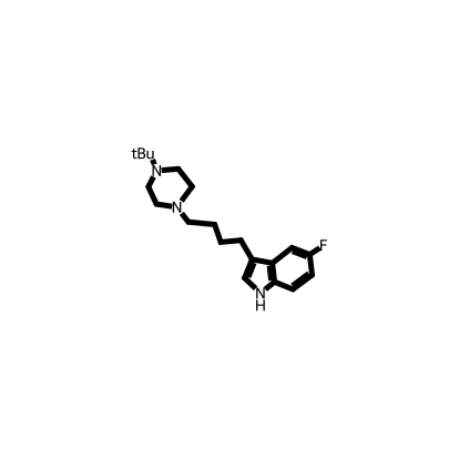 CC(C)(C)N1CCN(CCCCc2c[nH]c3ccc(F)cc23)CC1